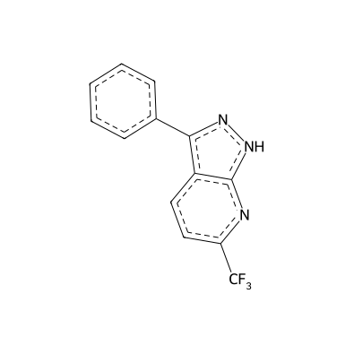 FC(F)(F)c1ccc2c(-c3ccccc3)n[nH]c2n1